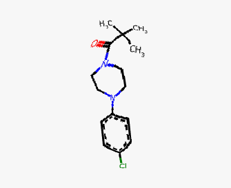 CC(C)(C)C(=O)N1CCN(c2ccc(Cl)cc2)CC1